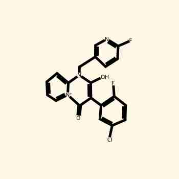 O=c1c(-c2cc(Cl)ccc2F)c(O)n(Cc2ccc(F)nc2)c2cccc[n+]12